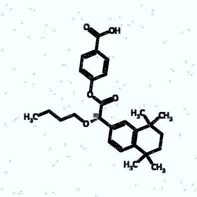 CCCCO[C@H](C(=O)Oc1ccc(C(=O)O)cc1)c1ccc2c(c1)C(C)(C)CCC2(C)C